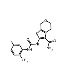 Cc1ccc(F)cc1NC(=O)Nc1sc2c(c1C(N)=O)CCOC2